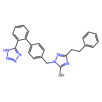 CCCc1nc(CCc2ccccc2)nn1Cc1ccc(-c2ccccc2-c2nnn[nH]2)cc1